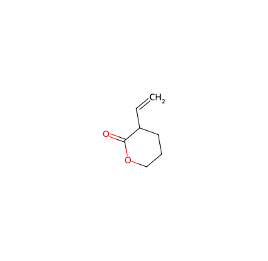 C=CC1CCCOC1=O